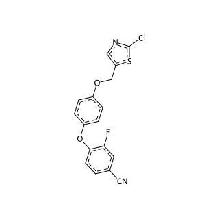 N#Cc1ccc(Oc2ccc(OCc3cnc(Cl)s3)cc2)c(F)c1